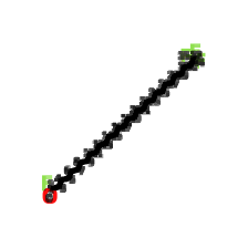 O=C(F)CCCCCCCCCCCCCCCCCCCCCCCCCCCCCC(F)(F)F